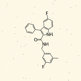 Cc1cc(F)cc(CNC(=O)c2[nH]c3ccc(F)cc3c2-c2ccccc2)c1